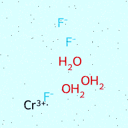 O.O.O.[Cr+3].[F-].[F-].[F-]